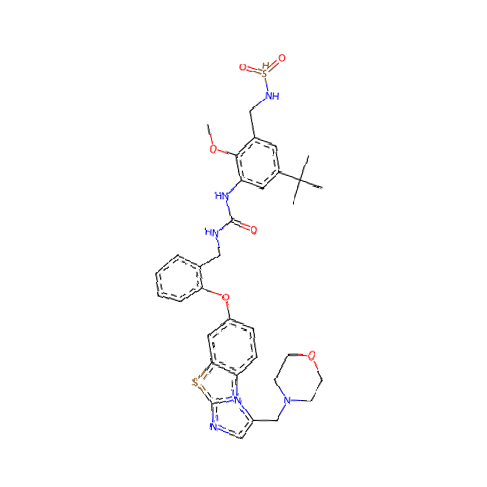 COc1c(CN[SH](=O)=O)cc(C(C)(C)C)cc1NC(=O)NCc1ccccc1Oc1ccc2c(c1)sc1ncc(CN3CCOCC3)n12